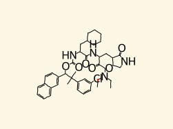 CCN(CC)C(=O)C(=O)C(CC1CCNC1=O)NC(=O)C(CC1CCCCC1)NC(=O)OC(c1ccc2ccccc2c1)C(C)(C)c1cccc(Cl)c1